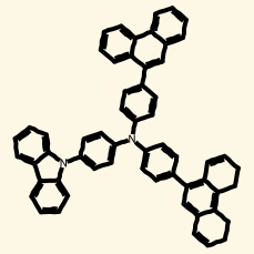 C1=Cc2cc(-c3ccc(N(c4ccc(-c5cc6ccccc6c6ccccc56)cc4)c4ccc(-n5c6ccccc6c6ccccc65)cc4)cc3)c3c(c2CC1)CCC=C3